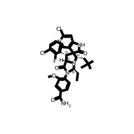 CC[C@H]1N(c2ccc(C(N)=O)cc2OC)C(=O)[C@H]2[C@H](c3cccc(Cl)c3F)C3(C(=O)Nc4cc(Cl)ncc43)[C@H](CC(C)(C)C)N21